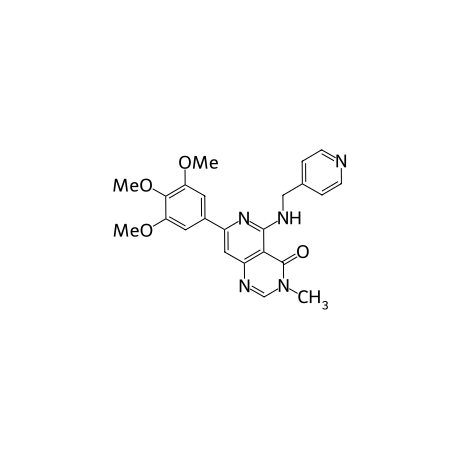 COc1cc(-c2cc3ncn(C)c(=O)c3c(NCc3ccncc3)n2)cc(OC)c1OC